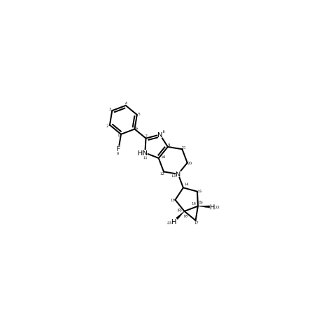 Fc1ccccc1-c1nc2c([nH]1)CN(C1C[C@@H]3C[C@@H]3C1)CC2